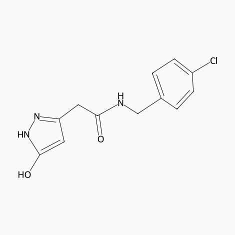 O=C(Cc1cc(O)[nH]n1)NCc1ccc(Cl)cc1